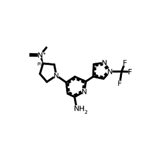 C=[N+](C)[C@@H]1CCN(c2cc(N)nc(-c3cnn(C(F)(F)F)c3)c2)C1